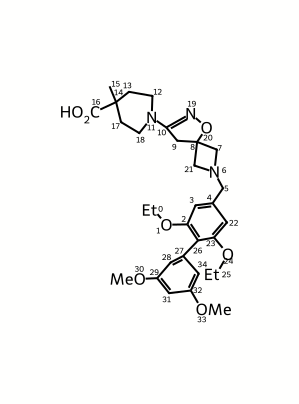 CCOc1cc(CN2CC3(CC(N4CCC(C)(C(=O)O)CC4)=NO3)C2)cc(OCC)c1-c1cc(OC)cc(OC)c1